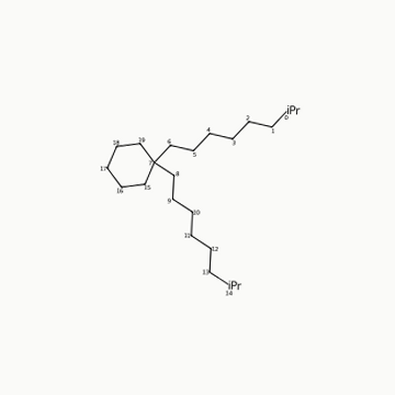 CC(C)CCCCCCC1(CCCCCCC(C)C)CCCCC1